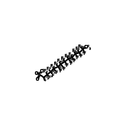 CC(C(F)(F)C(F)(F)C(F)(F)C(F)(F)C(F)(F)C(F)(F)C(F)(F)C(F)(F)C(F)(F)C(F)(F)C(F)(F)C(F)(F)F)S(=O)(=O)Cl